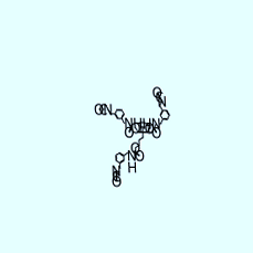 CCC(CCCOC(=O)NCc1cccc(CN=C=O)c1)(COC(=O)NCc1cccc(CN=C=O)c1)COC(=O)NCc1cccc(CN=C=O)c1